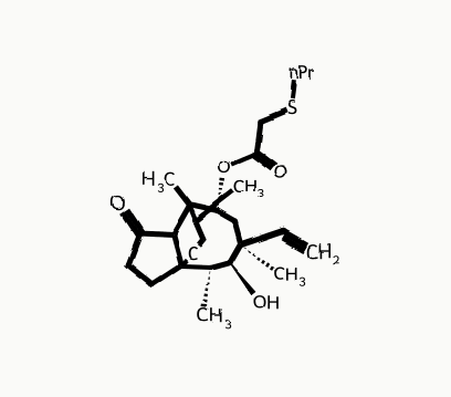 C=C[C@]1(C)C[C@@H](OC(=O)CSCCC)C2(C)C(C)CCC3(CCC(=O)C32)[C@@H](C)[C@@H]1O